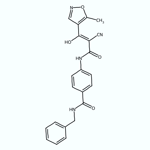 Cc1oncc1C(O)=C(C#N)C(=O)Nc1ccc(C(=O)NCc2ccccc2)cc1